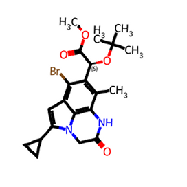 COC(=O)[C@@H](OC(C)(C)C)c1c(C)c2c3c(cc(C4CC4)n3CC(=O)N2)c1Br